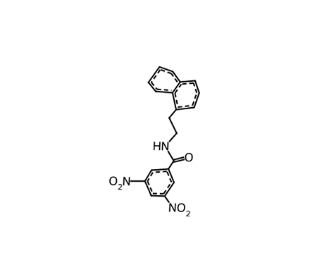 O=C(NCCc1cccc2ccccc12)c1cc([N+](=O)[O-])cc([N+](=O)[O-])c1